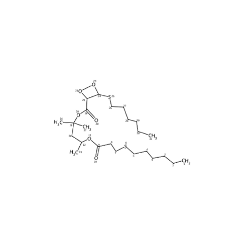 CCCCCCSCCC(=O)OC(C)CC(C)(C)OC(=O)C1OOC1SCCCCCC